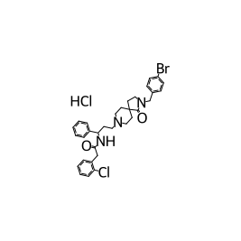 Cl.O=C(Cc1ccccc1Cl)NC(CCN1CCC2(CC1)CCN(Cc1ccc(Br)cc1)C2=O)c1ccccc1